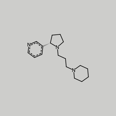 c1cncc([C@@H]2CCCN2CCCN2CCCCC2)c1